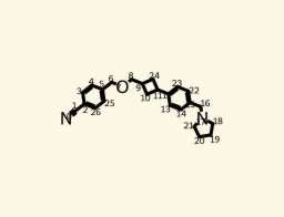 N#Cc1ccc(COCC2CC(c3ccc(CN4CCCC4)cc3)C2)cc1